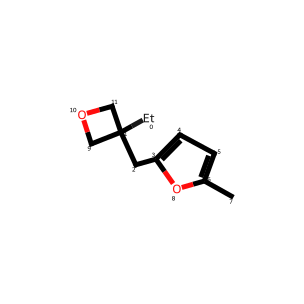 CCC1([CH]c2ccc(C)o2)COC1